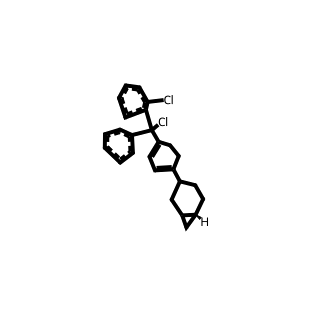 Clc1ccccc1C(Cl)(C1=CC=C(C2CC[C@@H]3CC3C2)CC1)c1ccccc1